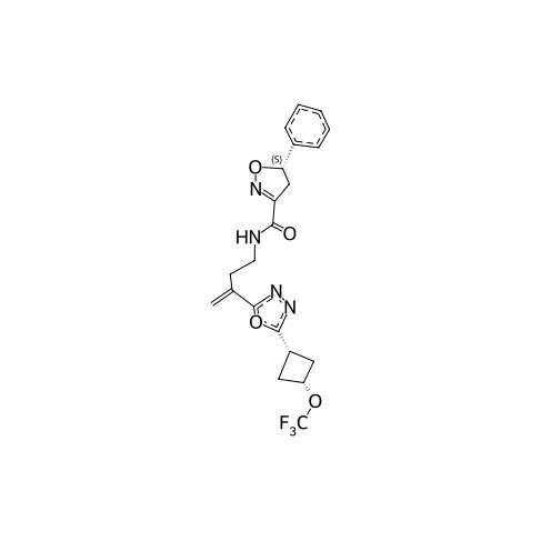 C=C(CCNC(=O)C1=NO[C@H](c2ccccc2)C1)c1nnc([C@H]2C[C@@H](OC(F)(F)F)C2)o1